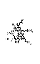 CCC(C)C(NC(=O)C(N)CCC(=O)C(C)C)C(=O)NC(CCCCN)C(=O)NC(CCCCN)C(=O)NC(CC(C)C)C(=O)NC(CCSC)C(=O)O